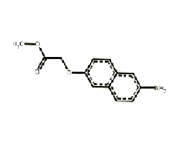 COC(=O)COc1ccc2cc(N)ccc2c1